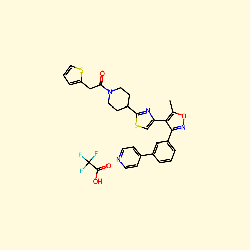 Cc1onc(-c2cccc(-c3ccncc3)c2)c1-c1csc(C2CCN(C(=O)Cc3cccs3)CC2)n1.O=C(O)C(F)(F)F